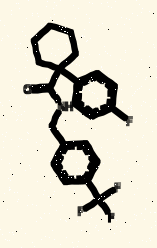 O=C(NCc1ccc(C(F)(F)F)cc1)C1(c2ccc(F)cc2)CCCCC1